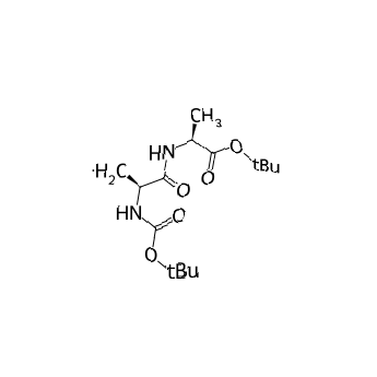 [CH2][C@H](NC(=O)OC(C)(C)C)C(=O)N[C@@H](C)C(=O)OC(C)(C)C